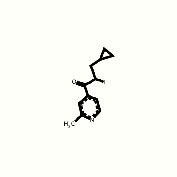 Cc1cc(C(=O)C(I)CC2CC2)ccn1